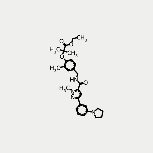 CCOC(=O)C(C)(C)Oc1ccc(CNC(=O)c2cc(-c3cccc(N4CCCC4)c3)nn2C)cc1C